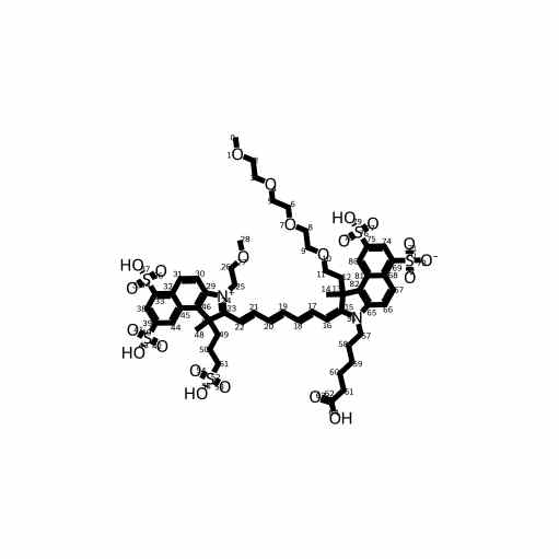 COCCOCCOCCOCCC1(C)\C(=C/C=C/C=C/C=C/C2=[N+](CCOC)c3ccc4c(S(=O)(=O)O)cc(S(=O)(=O)O)cc4c3C2(C)CCCS(=O)(=O)O)N(CCCCCC(=O)O)c2ccc3c(S(=O)(=O)[O-])cc(S(=O)(=O)O)cc3c21